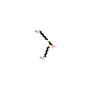 CCCCCCCCSCC(CO)SCCCCCCCC